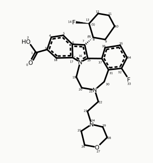 O=C(O)c1ccc2c([C@H]3CCCC[C@@H]3F)c3n(c2c1)CCN(CCN1CCOCC1)Cc1c(F)cccc1-3